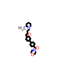 CC1CCCCN1CCc1cc2ccc(-c3ccc(C(=O)N4CCOCC4)cc3)cc2o1